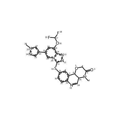 CN1C(=O)COC2c3cc(Sc4nnc5c(OC(F)F)cc(-c6cnn(C)c6)cn45)ccc3N=CC21